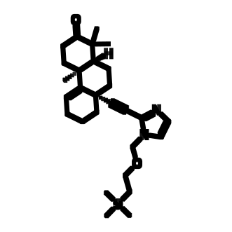 CC1(C)C(=O)CC[C@]2(C)C3=CCCC[C@]3(C#Cc3nccn3COCC[Si](C)(C)C)CC[C@@H]12